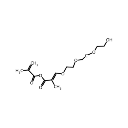 C=C(C)C(=O)OC(=O)C(C)=COCCOCCOCCO